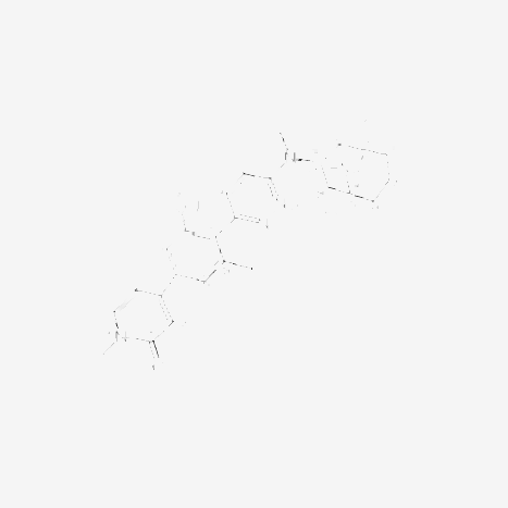 CN(c1ccc(-c2c(O)cc(-c3ccn(C)c(=O)c3)cc2F)nn1)[C@@H]1C[C@]2(C)CCC[C@](C)(C1)N2